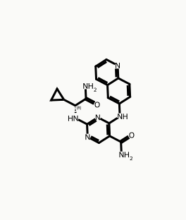 NC(=O)c1cnc(N[C@@H](C(N)=O)C2CC2)nc1Nc1ccc2ncccc2c1